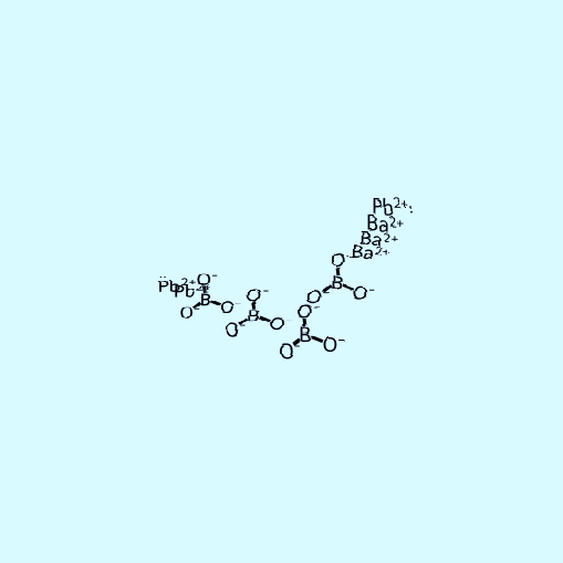 [Ba+2].[Ba+2].[Ba+2].[O-]B([O-])[O-].[O-]B([O-])[O-].[O-]B([O-])[O-].[O-]B([O-])[O-].[Pb+2].[Pb+2].[Pb+2]